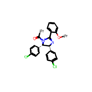 CC(C)Oc1ccccc1C1=N[C@H](c2ccc(Cl)cc2)[C@H](c2ccc(Cl)cc2)N1C(=O)C(C)C